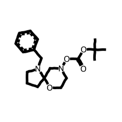 CC(C)(C)OC(=O)ON1CCOC2(CCCN2Cc2ccccc2)C1